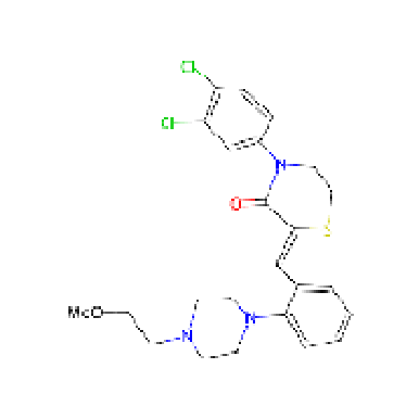 COCCN1CCN(c2ccccc2C=C2SCCN(c3ccc(Cl)c(Cl)c3)C2=O)CC1